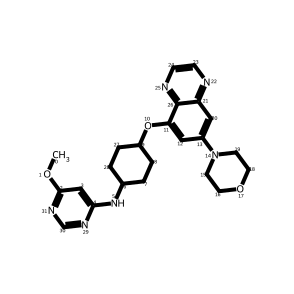 COc1cc(NC2CCC(Oc3cc(N4CCOCC4)cc4nccnc34)CC2)ncn1